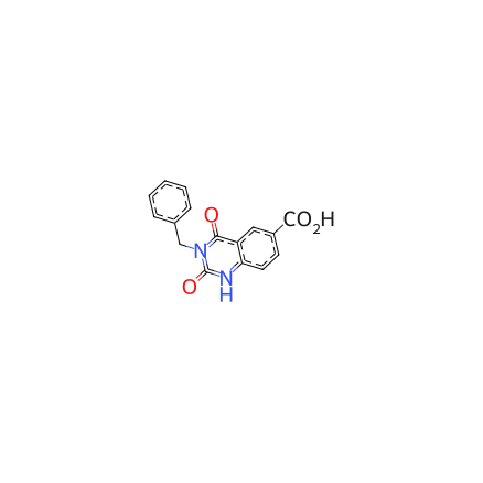 O=C(O)c1ccc2[nH]c(=O)n(Cc3ccccc3)c(=O)c2c1